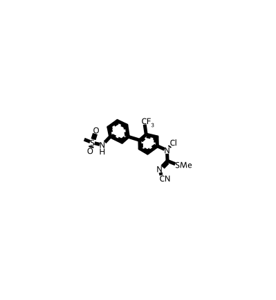 CSC(=NC#N)N(Cl)c1ccc(-c2cccc(NS(C)(=O)=O)c2)c(C(F)(F)F)c1